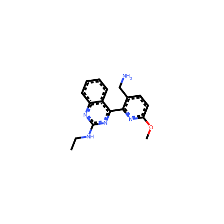 CCNc1nc(-c2nc(OC)ccc2CN)c2ccccc2n1